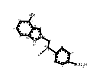 O=C(O)c1ccc([C@@H](F)Cn2cc3c(Br)cccc3n2)cc1